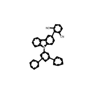 N#Cc1cccc(C#N)c1-c1ccc2c(c1)c1ccccc1n2-c1cc(-c2ccccc2)cc(-c2ccccc2)c1